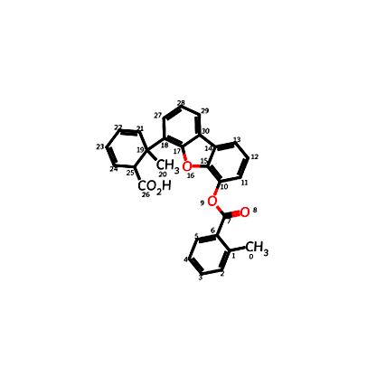 Cc1ccccc1C(=O)Oc1cccc2c1oc1c(C3(C)C=CC=CC3C(=O)O)cccc12